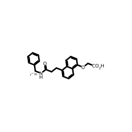 C[C@@H](NC(=O)CCc1cccc2c(OCC(=O)O)cccc12)c1ccccc1